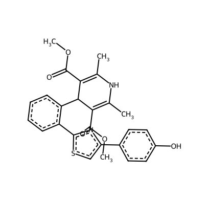 COC(=O)C1=C(C)NC(C)=C(C(=O)OC)C1c1ccccc1-c1nc(-c2ccc(O)cc2)cs1